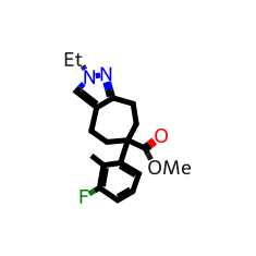 CCn1cc2c(n1)CCC(C(=O)OC)(c1cccc(F)c1C)CC2